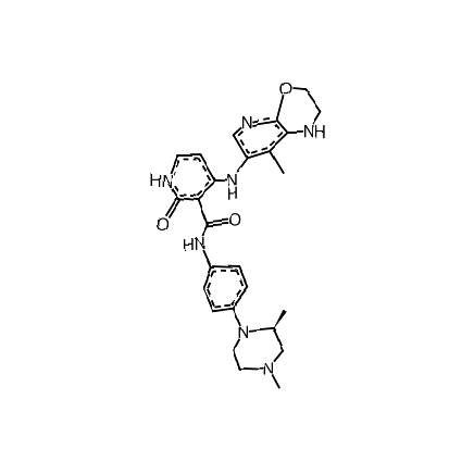 Cc1c(Nc2cc[nH]c(=O)c2C(=O)Nc2ccc(N3CCN(C)C[C@@H]3C)cc2)cnc2c1NCCO2